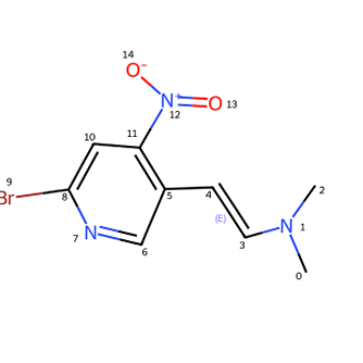 CN(C)/C=C/c1cnc(Br)cc1[N+](=O)[O-]